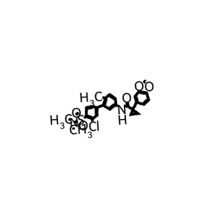 Cc1ccc(NC(=O)C2(c3ccc4c(c3)OCO4)CC2)cc1-c1ccc(S(=O)(=O)N(C)C)c(Cl)c1